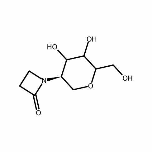 O=C1CCN1[C@@H]1COC(CO)C(O)C1O